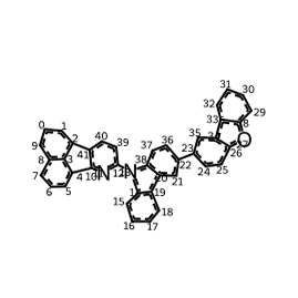 c1cc2c3c(cccc3c1)-c1nc(-n3c4ccccc4c4cc(-c5ccc6oc7ccccc7c6c5)ccc43)ccc1-2